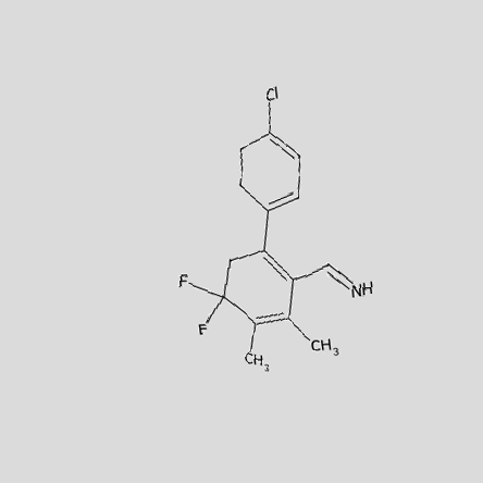 CC1=C(C)C(F)(F)CC(C2=CC=C(Cl)CC2)=C1C=N